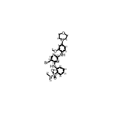 COc1cc(N2CCOCC2)ccc1Nc1ncc(Br)c(Nc2ccccc2S(=O)(=O)N(C)C)n1